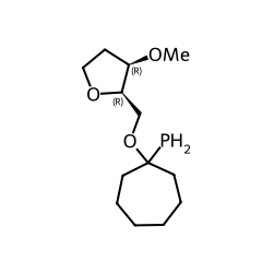 CO[C@@H]1CCO[C@@H]1COC1(P)CCCCCC1